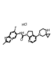 Cc1cn2cc(NC(=O)N3CCc4c(N5CCNC6(CC6)C5)ccnc43)c(F)cc2n1.Cl